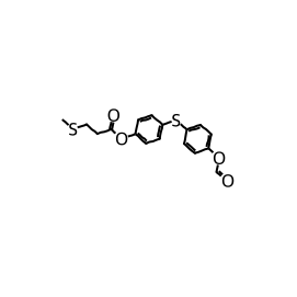 CSCCC(=O)Oc1ccc(Sc2ccc(OC=O)cc2)cc1